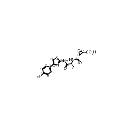 C[C@H](NC(=O)[C@@H]1O[C@H]1C(=O)O)C(=O)Nc1nc(-c2ccc(F)cc2)cs1